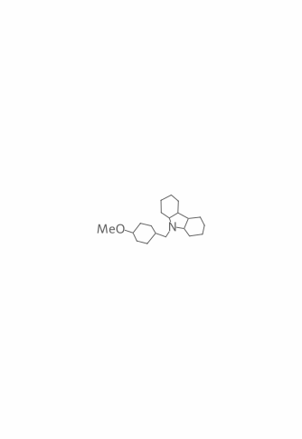 COC1CCC(CN2C3CCCCC3C3CCCCC32)CC1